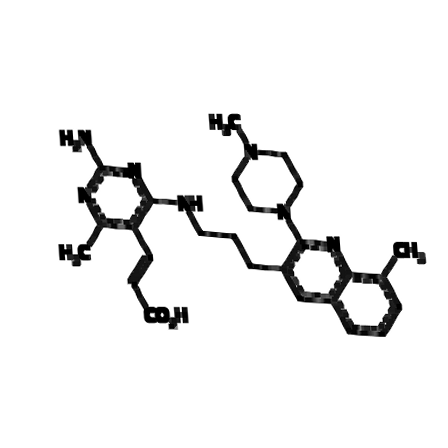 Cc1nc(N)nc(NCCCc2cc3cccc(C)c3nc2N2CCN(C)CC2)c1/C=C/C(=O)O